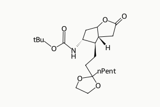 CCCCCC1(CC[C@H]2[C@H](NC(=O)OC(C)(C)C)CC3OC(=O)C[C@@H]32)OCCO1